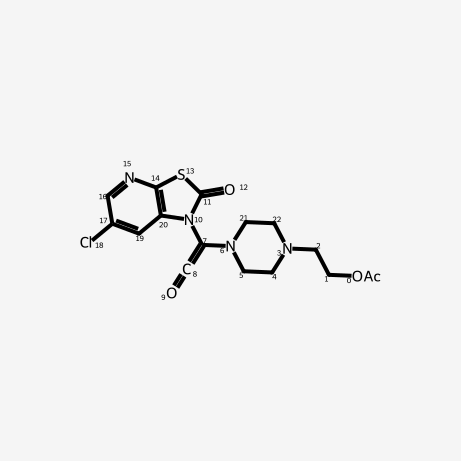 CC(=O)OCCN1CCN(C(=C=O)n2c(=O)sc3ncc(Cl)cc32)CC1